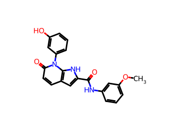 COc1cccc(NC(=O)c2cc3ccc(=O)n(-c4cccc(O)c4)c3[nH]2)c1